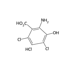 Cl.Nc1c(O)c(Cl)cc(Cl)c1C(=O)O